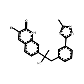 CCc1cc2ccc(C(C)(C#N)Cc3cccc(-c4nc(C)no4)c3)cc2[nH]c1=O